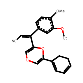 CCOc1cc(C(=CC#N)C2=COC=C(C3=CC=CCC3)O2)ccc1OC